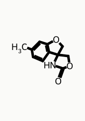 Cc1ccc2c(c1)OCC21COC(=O)N1